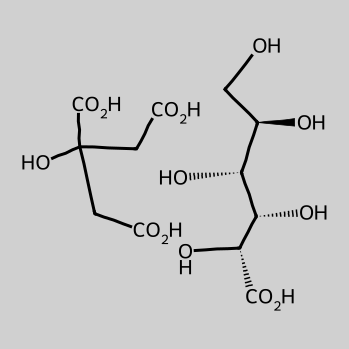 O=C(O)CC(O)(CC(=O)O)C(=O)O.O=C(O)[C@H](O)[C@@H](O)[C@H](O)[C@H](O)CO